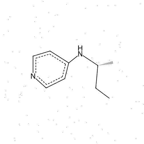 CC[C@@H](C)Nc1ccncc1